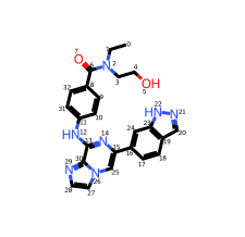 CCN(CCO)C(=O)c1ccc(Nc2nc(-c3ccc4cn[nH]c4c3)cn3ccnc23)cc1